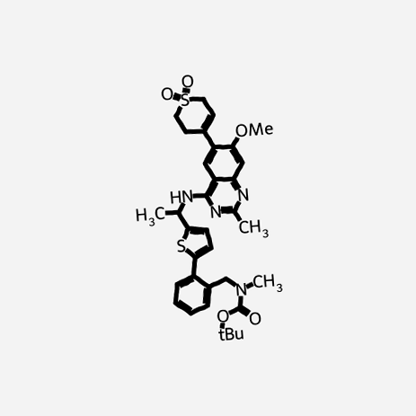 COc1cc2nc(C)nc(NC(C)c3ccc(-c4ccccc4CN(C)C(=O)OC(C)(C)C)s3)c2cc1C1=CCS(=O)(=O)CC1